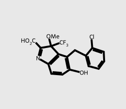 COC1(C(F)(F)F)C(C(=O)O)=Nc2ccc(O)c(Cc3ccccc3Cl)c21